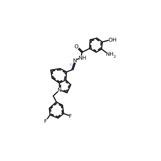 Nc1cc(C(=O)N/N=C/c2cccc3c2ccn3Cc2cc(F)cc(F)c2)ccc1O